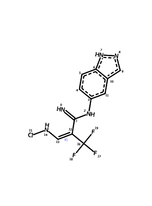 N=C(Nc1ccc2[nH]ncc2c1)/C(=C\NCl)C(F)(F)F